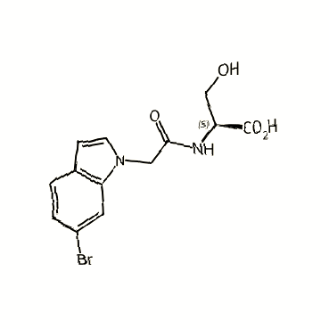 O=C(Cn1ccc2ccc(Br)cc21)N[C@@H](CO)C(=O)O